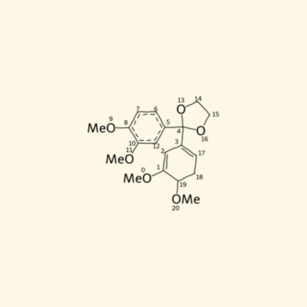 COC1=CC(C2(c3ccc(OC)c(OC)c3)OCCO2)=CCC1OC